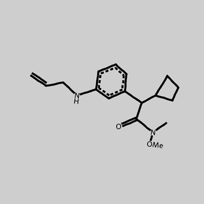 C=CCNc1cccc(C(C(=O)N(C)OC)C2CCC2)c1